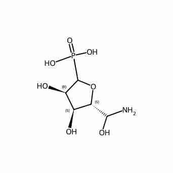 NC(O)[C@H]1OC(P(=O)(O)O)[C@H](O)[C@@H]1O